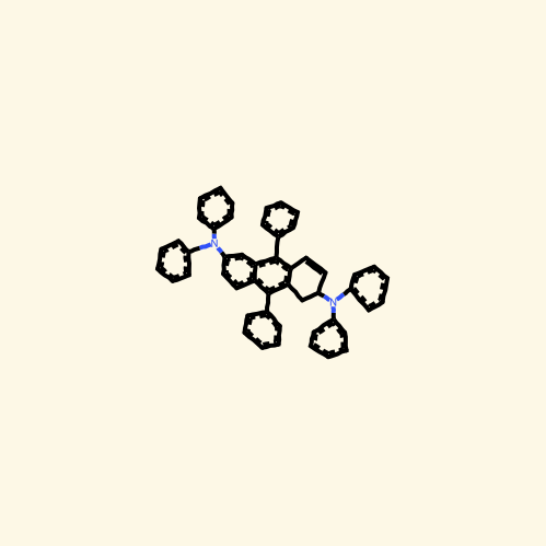 C1=CC(N(c2ccccc2)c2ccccc2)Cc2c1c(-c1ccccc1)c1cc(N(c3ccccc3)c3ccccc3)ccc1c2-c1ccccc1